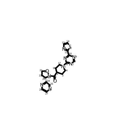 O=C(C1CCN(c2ncnc(-c3nccs3)n2)CC1)N1OCC[C@H]1c1cnccn1